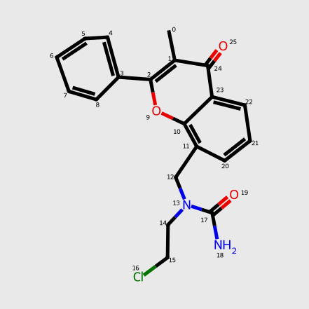 Cc1c(-c2ccccc2)oc2c(CN(CCCl)C(N)=O)cccc2c1=O